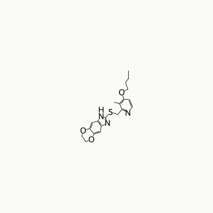 CCCCOc1ccnc(CSc2nc3cc4c(cc3[nH]2)OCCO4)c1C